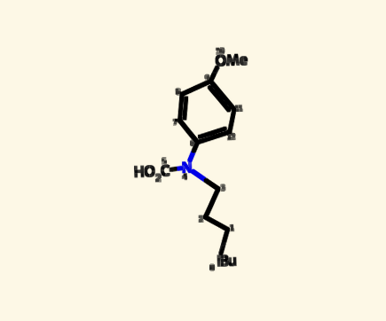 CCC(C)CCCN(C(=O)O)c1ccc(OC)cc1